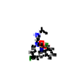 OS1(O)N(CCNC2CC2)Cc2cc(F)ccc2N1c1ccccc1F